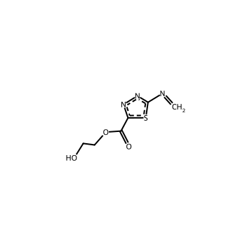 C=Nc1nnc(C(=O)OCCO)s1